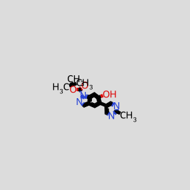 Cc1ncc(-c2cc3cnn(C(=O)OC(C)(C)C)c3cc2O)cn1